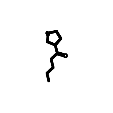 CCCCC(=O)C1CC[N]C1